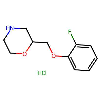 Cl.Fc1ccccc1OCC1CNCCO1